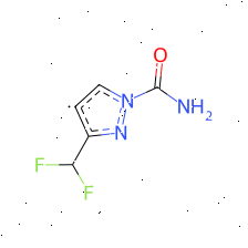 NC(=O)n1c[c]c(C(F)F)n1